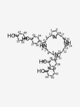 C1=Cc2cc3ccc(cc4nc(cc5ccc(cc1n2)[nH]5)C=C4)[nH]3.Oc1ccccc1.Oc1ccccc1.Oc1ccccc1.Oc1ccccc1